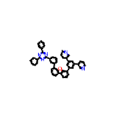 c1ccc(-c2nc(-c3ccccc3)nc(-c3cccc(-c4cccc5c4oc4c(-c6cc(-c7cccnc7)cc(-c7cccnc7)c6)cccc45)c3)n2)cc1